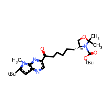 Cn1c(C(C)(C)C)cc2ncc(C(=O)CCCCC[C@@H]3COC(C)(C)N3C(=O)OC(C)(C)C)nc21